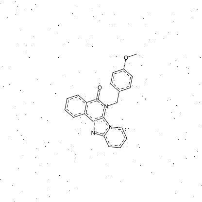 COc1ccc(Cn2c(=O)c3ccccc3c3nc4ccccn4c32)cc1